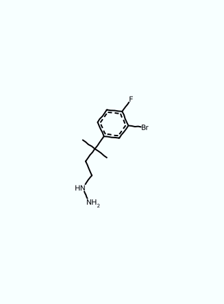 CC(C)(CCNN)c1ccc(F)c(Br)c1